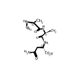 C[C@H](NC(=O)[C@H](C)NC(C)(C)C)C(=O)N[C@@H](CC(N)=O)C(=O)O